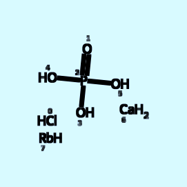 Cl.O=P(O)(O)O.[CaH2].[RbH]